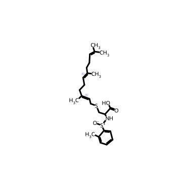 CC(C)=CCC/C(C)=C/CC/C(C)=C/CSCC(N[S+]([O-])c1ccccc1C)C(=O)O